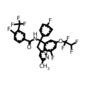 Cc1cc(CC(NC(=O)c2ccc(F)c(C(F)(F)F)c2)(c2ccc(F)cc2)c2cc(F)cc(OC(F)(F)C(F)F)c2)on1